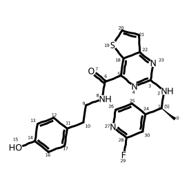 C[C@H](Nc1nc(C(=O)NCCc2ccc(O)cc2)c2sccc2n1)c1ccnc(F)c1